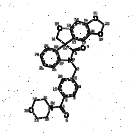 O=C(c1ccc(CN2C(=O)C3(COc4cc5c(cc43)OCO5)c3ccccc32)cc1)N1CCOCC1